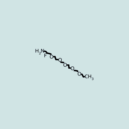 CCCOCCOCCOCCOCCOCC(F)CN